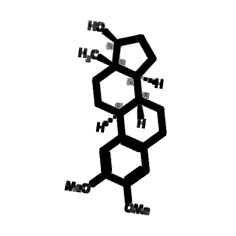 COc1cc2c(cc1OC)[C@H]1CC[C@]3(C)[C@@H](O)CC[C@H]3[C@@H]1CC2